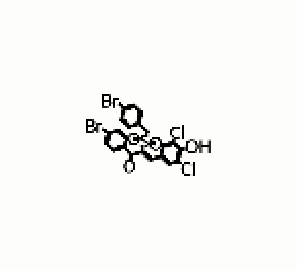 O=C(C(=Cc1cc(Cl)c(O)c(Cl)c1)S(=O)(=O)Cc1ccc(Br)cc1)c1ccc(Br)cc1